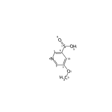 COc1cncc(S(=O)O)c1